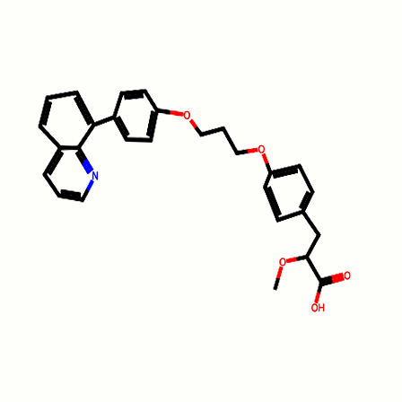 COC(Cc1ccc(OCCCOc2ccc(-c3cccc4cccnc34)cc2)cc1)C(=O)O